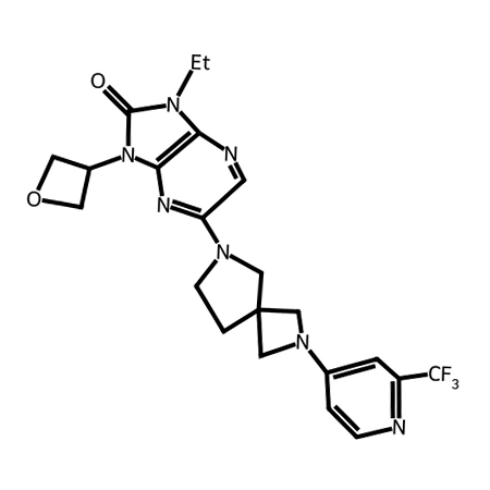 CCn1c(=O)n(C2COC2)c2nc(N3CCC4(CN(c5ccnc(C(F)(F)F)c5)C4)C3)cnc21